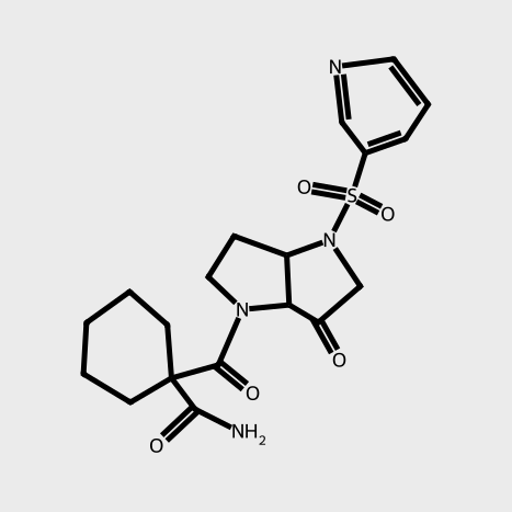 NC(=O)C1(C(=O)N2CCC3C2C(=O)CN3S(=O)(=O)c2cccnc2)CCCCC1